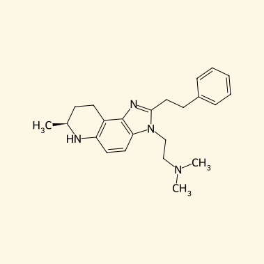 C[C@H]1CCc2c(ccc3c2nc(CCc2ccccc2)n3CCN(C)C)N1